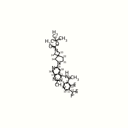 Cc1nc(N[C@H](C)c2cccc(C(F)F)c2F)c2cc(N3CCC4(CN(C(=O)OC(C)(C)C)C4)C3)ncc2n1